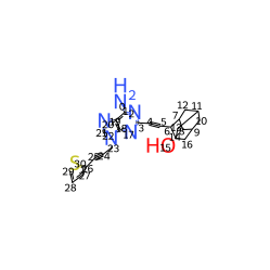 Nc1nc(C#CC2C3CC4CC(C3)CC2(O)C4)nc2c1ncn2CC#Cc1cccs1